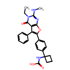 CCn1c(NC)nc2oc(-c3ccc(C4(NC(=O)O)CCC4)cc3)c(-c3ccccc3)c2c1=O